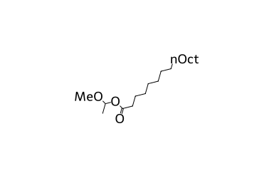 CCCCCCCCCCCCCCCC(=O)OC(C)OC